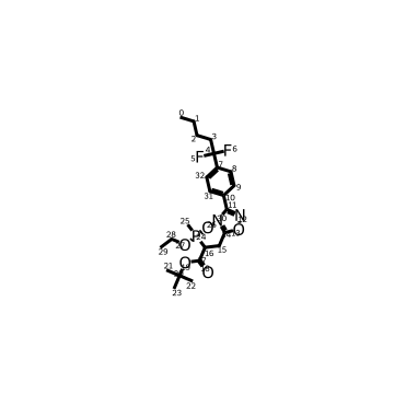 CCCCC(F)(F)c1ccc(-c2noc(CC(C(=O)OC(C)(C)C)P(C)(=O)OCC)n2)cc1